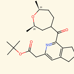 C[C@@H]1CC(C(=O)c2nc(CC(=O)OC(C)(C)C)cc3c2CCC3)CC[C@H](C)O1